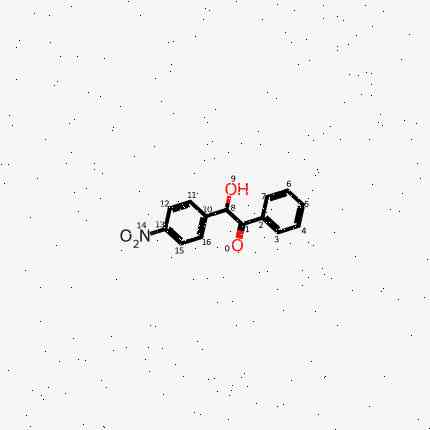 O=C(c1ccccc1)C(O)c1ccc([N+](=O)[O-])cc1